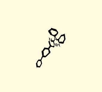 C1=CC(P(C2=NC=C(C3CC=C(C4CC=CCC4)CC3)CN2)c2ccccc2)CCC1